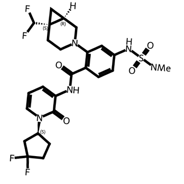 CNS(=O)(=O)Nc1ccc(C(=O)Nc2cccn([C@H]3CCC(F)(F)C3)c2=O)c(N2CC[C@@]3(C(F)F)C[C@H]3C2)c1